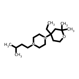 CCC1(N2CCN(CCC(C)C)CC2)CCOC(C)(C)C1